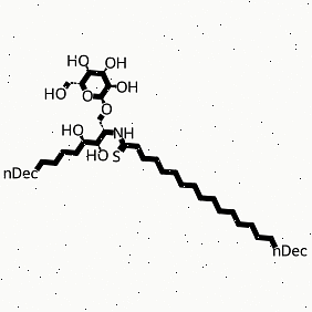 CCCCCCCCCCCCCCCCCCCCCCCCCC(=S)N[C@@H](CO[C@H]1O[C@H](CO)[C@H](O)[C@H](O)[C@H]1O)[C@H](O)[C@H](O)CCCCCCCCCCCCCC